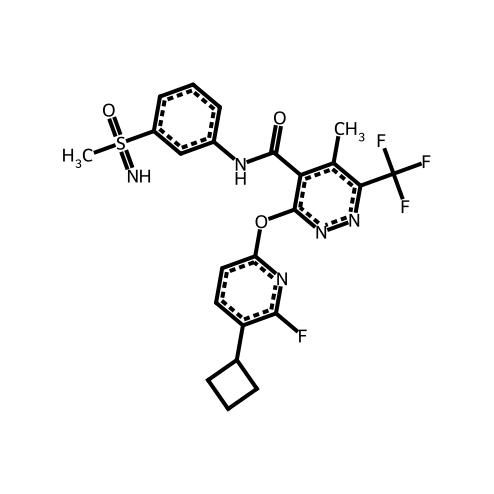 Cc1c(C(F)(F)F)nnc(Oc2ccc(C3CCC3)c(F)n2)c1C(=O)Nc1cccc(S(C)(=N)=O)c1